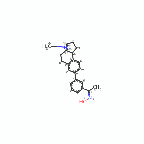 C/C(=N/O)c1cccc(-c2ccc3c(c2)CCC24CN(C)CC2CCC34)c1